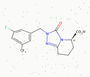 O=C(O)[C@H]1CCCc2nn(Cc3cc(F)cc(C(F)(F)F)c3)c(=O)n21